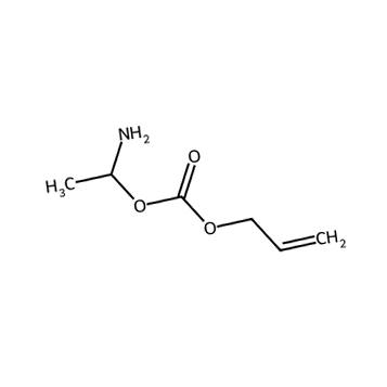 C=CCOC(=O)OC(C)N